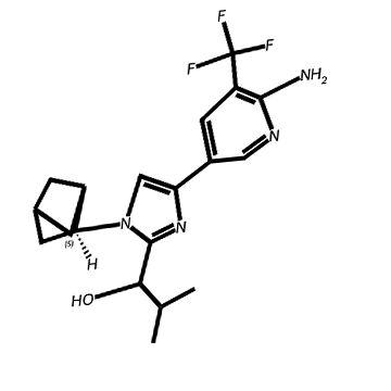 CC(C)C(O)c1nc(-c2cnc(N)c(C(F)(F)F)c2)cn1[C@H]1CC2CC1C2